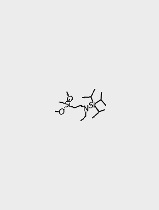 CCN(CC[Si](C)(OC)OC)[Si](C(C)C)(C(C)C)C(C)C